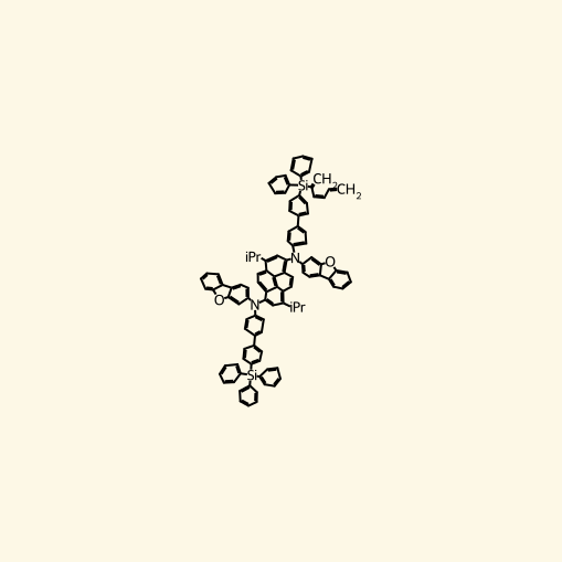 C=C/C=C\C(=C)[Si](c1ccccc1)(c1ccccc1)c1ccc(-c2ccc(N(c3ccc4c(c3)oc3ccccc34)c3cc(C(C)C)c4ccc5c(N(c6ccc(-c7ccc([Si](c8ccccc8)(c8ccccc8)c8ccccc8)cc7)cc6)c6ccc7c(c6)oc6ccccc67)cc(C(C)C)c6ccc3c4c65)cc2)cc1